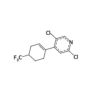 FC(F)(F)C1CC=C(c2cc(Cl)ncc2Cl)CC1